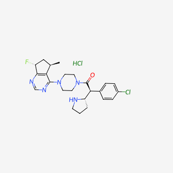 C[C@@H]1C[C@@H](F)c2ncnc(N3CCN(C(=O)[C@@H](c4ccc(Cl)cc4)[C@@H]4CCCN4)CC3)c21.Cl